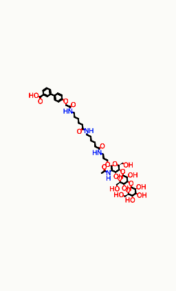 CC(=O)N[C@H]1[C@H](OCCCNC(=O)CCCCCNC(=O)CCCCCNC(=O)COc2ccc(-c3cccc(C(=O)O)c3)cc2)O[C@H](CO)[C@@H](O[C@@H]2O[C@H](CO)[C@H](O)[C@H](O[C@H]3O[C@H](CO)[C@H](O)[C@H](O)[C@H]3O)[C@H]2O)[C@@H]1O